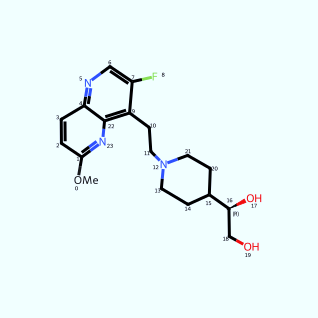 COc1ccc2ncc(F)c(CCN3CCC([C@@H](O)CO)CC3)c2n1